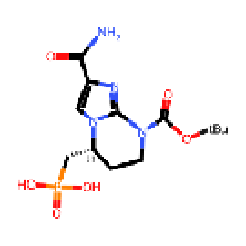 CC(C)(C)OC(=O)N1CC[C@H](CP(=O)(O)O)n2cc(C(N)=O)nc21